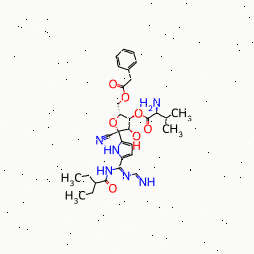 CCC(CC)C(=O)N/C(=N/C=N)c1ccc([C@]2(C#N)O[C@H](COC(=O)Cc3ccccc3)[C@@H](OC(=O)[C@@H](N)C(C)C)[C@H]2O)[nH]1